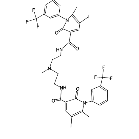 Cc1c(I)cc(C(=O)NCCN(C)CCNC(=O)c2cc(I)c(C)n(-c3cccc(C(F)(F)F)c3)c2=O)c(=O)n1-c1cccc(C(F)(F)F)c1